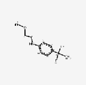 CC(C)OCCNc1ncc(C(C)(F)F)cn1